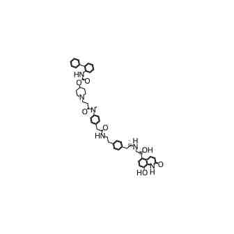 C[C@@H](Cc1ccc(CCNC(=O)Cc2ccc(N(C)C(=O)CCN3CCC(OC(=O)Nc4ccccc4-c4ccccc4)CC3)cc2)cc1)NC[C@H](O)c1ccc(O)c2[nH]c(=O)ccc12